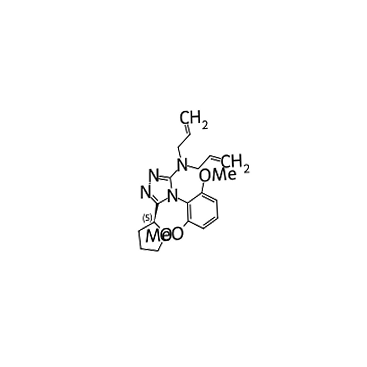 C=CCN(CC=C)c1nnc([C@@H]2CCCO2)n1-c1c(OC)cccc1OC